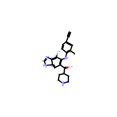 C#Cc1ccc(Nc2c(C(=O)C3CCNCC3)cc3[nH]cnc3c2F)c(C)c1